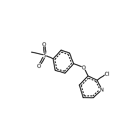 CS(=O)(=O)c1ccc(Oc2cccnc2Cl)cc1